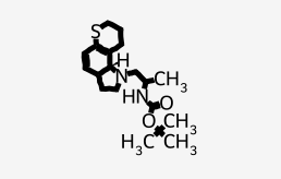 CC(CN1CCC2C=CC3=C(CCCS3)[C@H]21)NC(=O)OC(C)(C)C